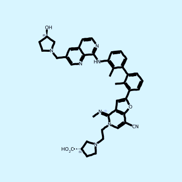 C/N=c1/c2cc(-c3cccc(-c4cccc(Nc5nccc6cc(CN7CC[C@@H](O)C7)cnc56)c4C)c3C)oc2c(C#N)cn1CCN1CC[C@H](C(=O)O)C1